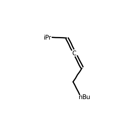 CCCCCC=C=CC(C)C